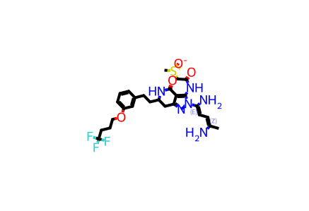 C/C(N)=C/C=C(\N)n1nc2c(c1NC(=O)C[S+](C)[O-])C(=O)NC(CCc1cccc(OCCCC(F)(F)F)c1)C2